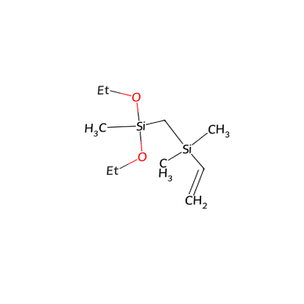 C=C[Si](C)(C)C[Si](C)(OCC)OCC